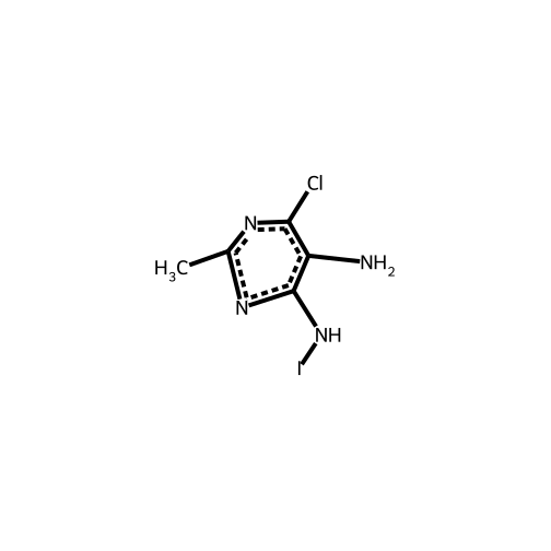 Cc1nc(Cl)c(N)c(NI)n1